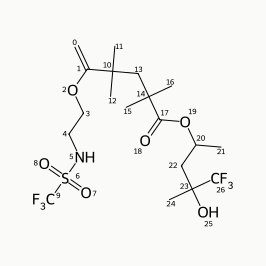 C=C(OCCNS(=O)(=O)C(F)(F)F)C(C)(C)CC(C)(C)C(=O)OC(C)CC(C)(O)C(F)(F)F